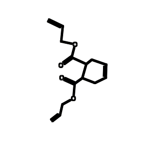 C=CCOC(=O)C1CC=CCC1C(=O)OCC=C